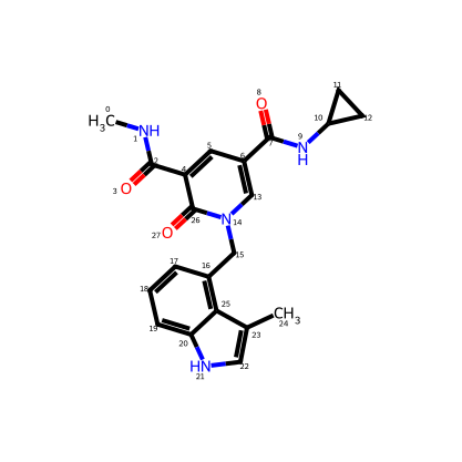 CNC(=O)c1cc(C(=O)NC2CC2)cn(Cc2cccc3[nH]cc(C)c23)c1=O